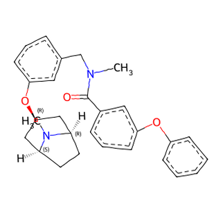 CN(Cc1cccc(O[C@H]2C[C@H]3CC[C@@H](C2)N3C)c1)C(=O)c1cccc(Oc2ccccc2)c1